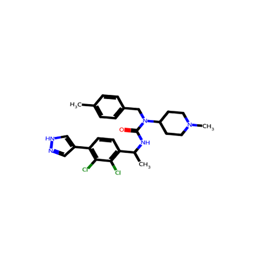 Cc1ccc(CN(C(=O)NC(C)c2ccc(-c3cn[nH]c3)c(Cl)c2Cl)C2CCN(C)CC2)cc1